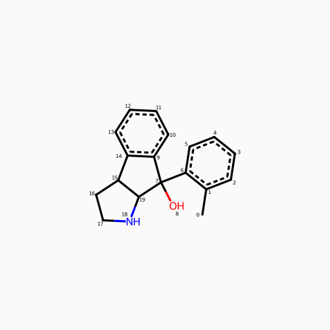 Cc1ccccc1C1(O)c2ccccc2C2CCNC21